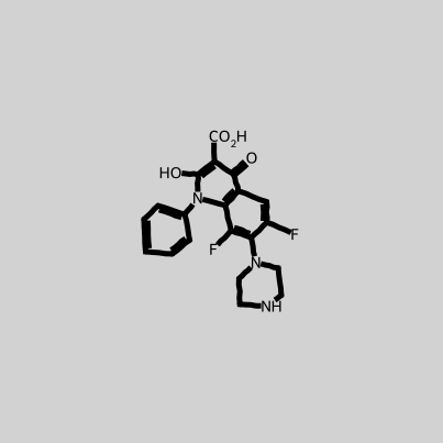 O=C(O)c1c(O)n(-c2ccccc2)c2c(F)c(N3CCNCC3)c(F)cc2c1=O